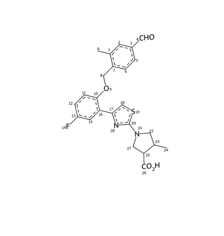 Cc1cc(C=O)ccc1COc1ccc(F)cc1-c1csc(N2CC(C)C(C(=O)O)C2)n1